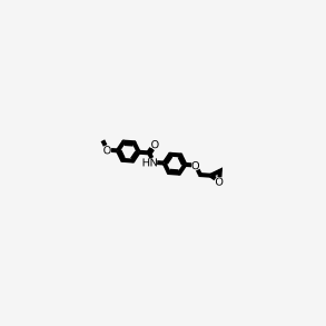 COc1ccc(C(=O)Nc2ccc(OCC3CO3)cc2)cc1